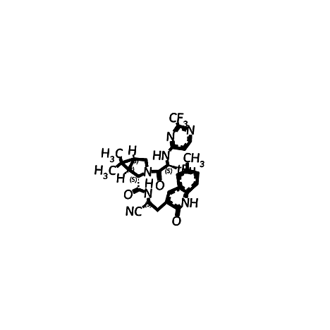 Cc1ccc2[nH]c(=O)c(C[C@@H](C#N)NC(=O)[C@@H]3[C@@H]4[C@H](CN3C(=O)[C@@H](Nc3ccnc(C(F)(F)F)n3)C(C)(C)C)C4(C)C)cc2c1